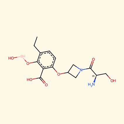 CCc1ccc(OC2CN(C(=O)[C@H](N)CO)C2)c(C(=O)O)c1OBO